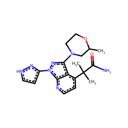 CC1CN(c2nn(-c3cc[nH]n3)c3nccc(C(C)(C)C(N)=O)c23)CCO1